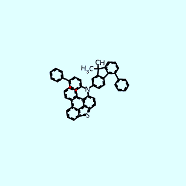 CC1(C)c2cc(N(c3ccc(-c4ccccc4)cc3)c3ccc4sc5cccc6c7ccccc7c3c4c56)ccc2-c2c(-c3ccccc3)cccc21